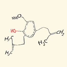 C=C(C)Cc1cc(CC(=C)C)c(O)c(OC)c1